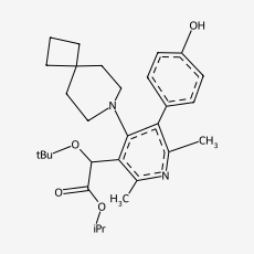 Cc1nc(C)c(C(OC(C)(C)C)C(=O)OC(C)C)c(N2CCC3(CCC3)CC2)c1-c1ccc(O)cc1